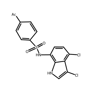 CC(=O)c1ccc(S(=O)(=O)Nc2ccc(Cl)c3c(Cl)c[nH]c23)cc1